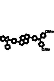 COc1ccc(N(c2ccc(OC)cc2)c2ccc(-c3ccc4ccc5c(-c6ccc(-c7nc8ccccc8n7-c7ccccc7)cc6)ccc6ccc3c4c65)cc2)cc1